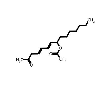 CCCCCCCC(C=CC=CCC(C)=O)OC(C)=O